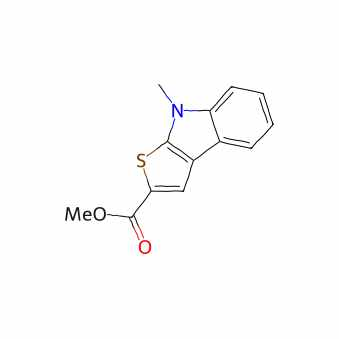 COC(=O)c1cc2c3ccccc3n(C)c2s1